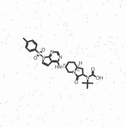 Cc1ccc(S(=O)(=O)n2ccc3c(N[C@@H]4CC[C@H]5CC(N(C(=O)O)C(C)(C)C)C(=O)N5C4)ncnc32)cc1